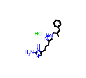 CC(=Cc1ccccc1)Cn1cc(CCCc2cnc(N)[nH]2)nn1.Cl